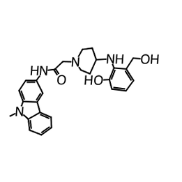 Cn1c2ccccc2c2cc(NC(=O)CN3CCC(Nc4c(O)cccc4CO)CC3)ccc21